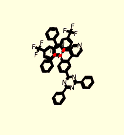 FC(F)(F)c1ccc2c(c1)c1cc(C(F)(F)F)ccc1n2-c1ccc(-c2nc(-c3ccccc3)nc(-c3ccccc3)n2)cc1-c1ccncc1-c1nc(-c2ccccc2)nc(-c2ccccc2)n1